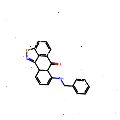 O=C1c2cccc3snc(c23)C2C=CC=C(NCc3ccccc3)C12